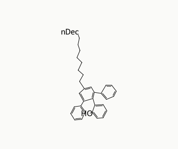 CCCCCCCCCCCCCCCCCCc1cc(-c2ccccc2)c(-c2ccccc2O)c(-c2ccccc2)c1